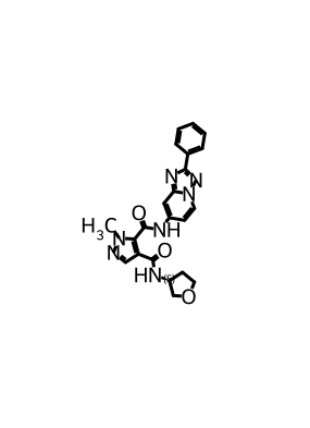 Cn1ncc(C(=O)N[C@H]2CCOC2)c1C(=O)Nc1ccn2nc(-c3ccccc3)nc2c1